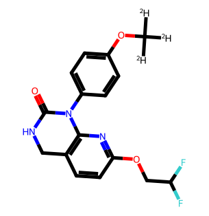 [2H]C([2H])([2H])Oc1ccc(N2C(=O)NCc3ccc(OCC(F)F)nc32)cc1